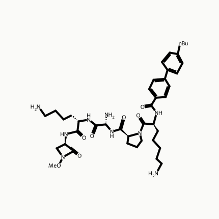 CCCCc1ccc(-c2ccc(C(=O)N[C@@H](CCCCCN)C(=O)N3CCC[C@H]3C(=O)N[C@@H](N)C(=O)N[C@@H](CCCCN)C(=O)N[C@@H]3CN(OC)C3=O)cc2)cc1